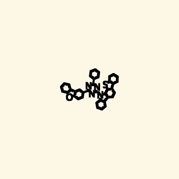 c1ccc(-c2nc(-c3ccc4oc5ccccc5c4c3)nc(-n3c4ccccc4c4ccc5c6ccccc6sc5c43)n2)cc1